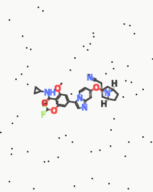 COc1cc(-c2cnc3cc(OC4C[C@H]5CC[C@@H](C4)N5CCC#N)ccn23)cc(OC(F)F)c1C(=O)NC1CC1